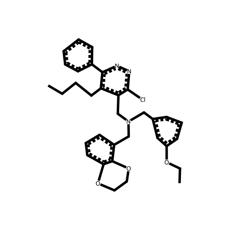 CCCCc1c(-c2ccccc2)nnc(Cl)c1CN(Cc1cccc(OCC)c1)Cc1cccc2c1OCCO2